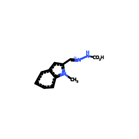 Cn1c(/C=N/NC(=O)O)cc2ccccc21